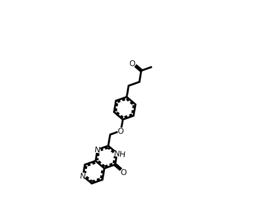 CC(=O)CCc1ccc(OCc2nc3cnccc3c(=O)[nH]2)cc1